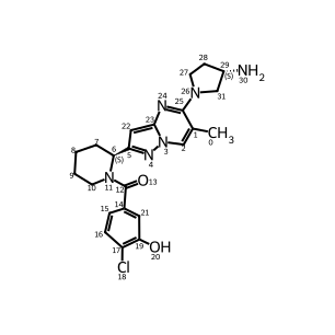 Cc1cn2nc([C@@H]3CCCCN3C(=O)c3ccc(Cl)c(O)c3)cc2nc1N1CC[C@H](N)C1